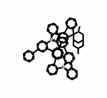 CC1CC2CC(C)C3(c4ccccc4-c4ccc(-c5ccc(-c6ccccc6-n6c7ccccc7c7ccc(-c8ccc9c%10ccccc%10n(-c%10ccc(-c%11ccccc%11)cc%10-c%10ccccc%10)c9c8)cc76)cc5)cc43)C(C1)C2